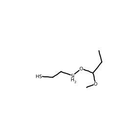 CCC(OC)O[SiH2]CCS